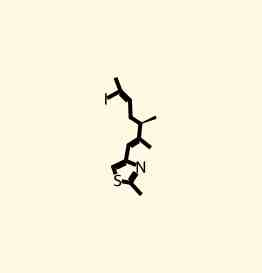 C/C(I)=C/C[C@@H](C)/C(C)=C/c1csc(C)n1